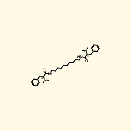 CN(C)[C@@H](Cc1ccccc1)C(=O)NCCCCCCCCCCNC(=O)[C@H](Cc1ccccc1)N(C)C